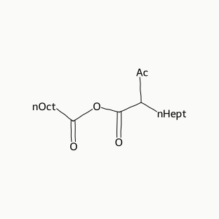 CCCCCCCCC(=O)OC(=O)C(CCCCCCC)C(C)=O